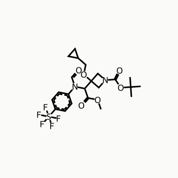 COC(=O)C(N(C=O)c1ccc(S(F)(F)(F)(F)F)cc1)C1(OCC2CC2)CN(C(=O)OC(C)(C)C)C1